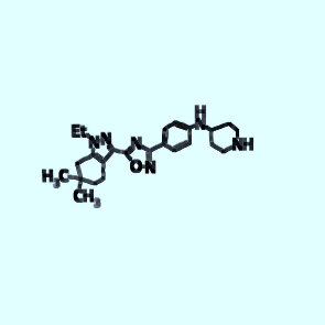 CCn1nc(-c2nc(-c3ccc(NC4CCNCC4)cc3)no2)c2c1CC(C)(C)CC2